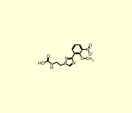 COc1c(-c2ncn(CCNC(=O)O)n2)cccc1[N+](=O)[O-]